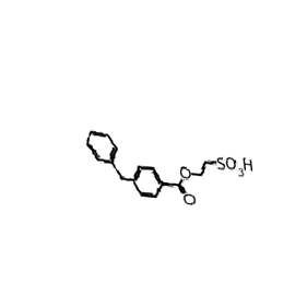 O=C(OCCS(=O)(=O)O)c1ccc(Cc2ccccc2)cc1